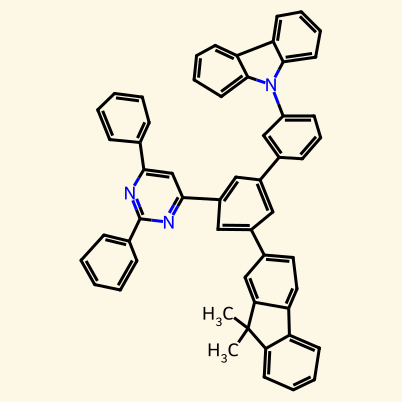 CC1(C)c2ccccc2-c2ccc(-c3cc(-c4cccc(-n5c6ccccc6c6ccccc65)c4)cc(-c4cc(-c5ccccc5)nc(-c5ccccc5)n4)c3)cc21